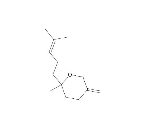 C=C1CCC(C)(CCC=C(C)C)OC1